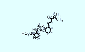 CN(C)C(=O)C=Cc1ccccc1CS(=O)(=O)Nc1scnc1C(=O)O